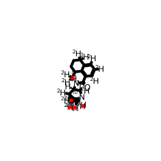 [2H]c1c([2H])c2c3c(c1[2H])C([2H])([2H])CC[C@@H]3C([2H])([2H])N([C@@H]1C([2H])([2H])N3C([2H])([2H])C([2H])([2H])C1([2H])C([2H])([2H])C3([2H])[2H])C2=O